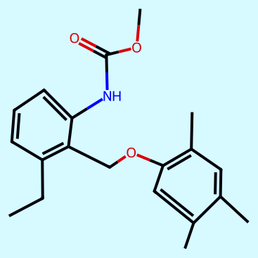 CCc1cccc(NC(=O)OC)c1COc1cc(C)c(C)cc1C